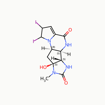 CN1C(=O)N[C@H]2[C@@H]3NC(=O)C4=CC(I)C(I)N4[C@@H]3C[C@]21O